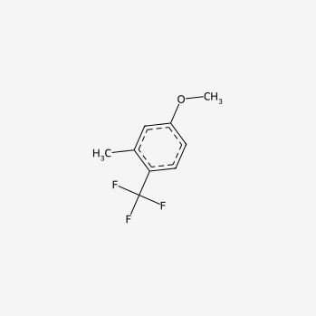 COc1ccc(C(F)(F)F)c(C)c1